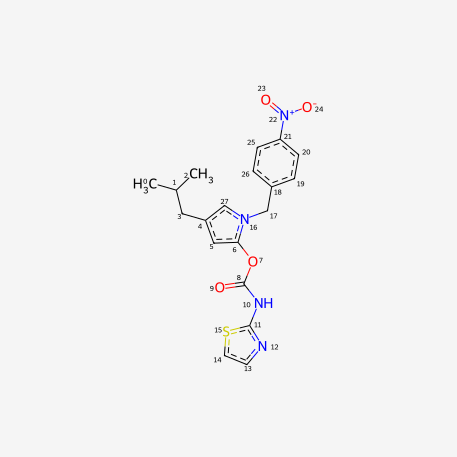 CC(C)Cc1cc(OC(=O)Nc2nccs2)n(Cc2ccc([N+](=O)[O-])cc2)c1